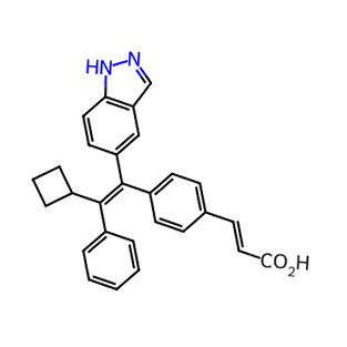 O=C(O)C=Cc1ccc(/C(=C(\c2ccccc2)C2CCC2)c2ccc3[nH]ncc3c2)cc1